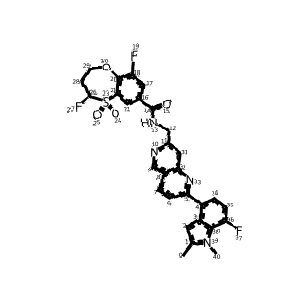 Cc1cc2c(-c3ccc4cnc(CNC(=O)c5cc(F)c6c(c5)S(=O)(=O)[C@@H](F)CCO6)cc4n3)ccc(F)c2n1C